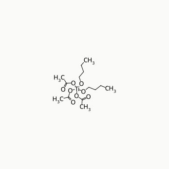 CCCC[O][Ti]([O]CCCC)([O]C(C)=O)([O]C(C)=O)[O]C(C)=O